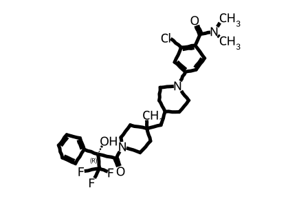 CN(C)C(=O)c1ccc(N2CCC(CC3(C)CCN(C(=O)[C@](O)(c4ccccc4)C(F)(F)F)CC3)CC2)cc1Cl